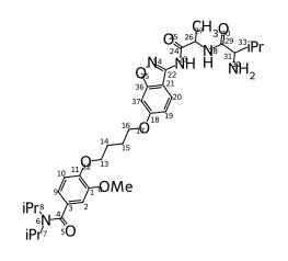 COc1cc(C(=O)N(C(C)C)C(C)C)ccc1OCCCCOc1ccc2c(NC(=O)C(C)NC(=O)C(N)C(C)C)noc2c1